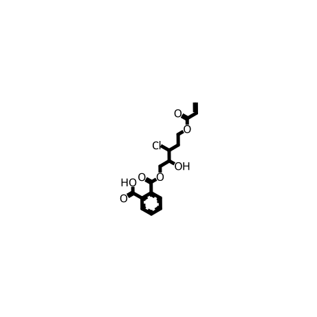 C=CC(=O)OCCC(Cl)C(O)COC(=O)c1ccccc1C(=O)O